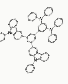 c1ccc(N(c2ccccc2)c2cc(-c3cc(-c4ccc5c(c4)c4ccccc4n5-c4ccccc4)cc(-c4ccc5c(c4)c4ccccc4n5-c4ccccc4)c3)cc(N(c3ccccc3)c3ccccc3)c2)cc1